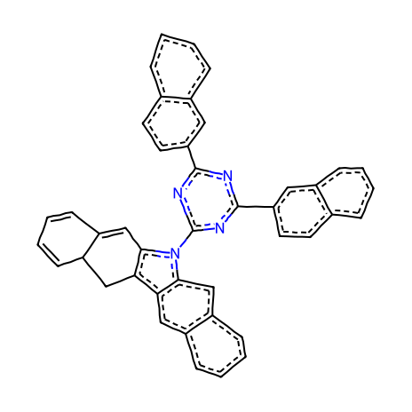 C1=CC2=Cc3c(c4cc5ccccc5cc4n3-c3nc(-c4ccc5ccccc5c4)nc(-c4ccc5ccccc5c4)n3)CC2C=C1